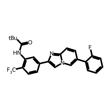 CC(C)(C)C(=O)Nc1cc(-c2cn3cc(-c4ccccc4F)ccc3n2)ccc1C(F)(F)F